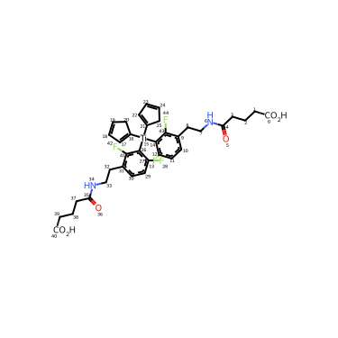 O=C(O)CCCC(=O)NCCc1ccc(F)[c]([Ti]([C]2=CC=CC2)([C]2=CC=CC2)[c]2c(F)ccc(CCNC(=O)CCCC(=O)O)c2F)c1F